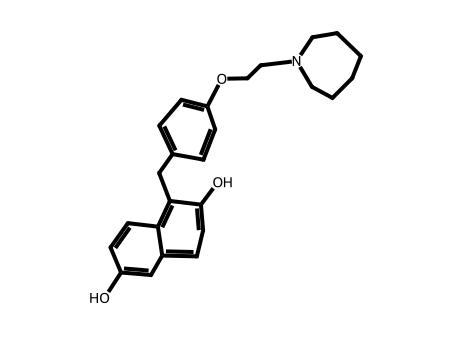 Oc1ccc2c(Cc3ccc(OCCN4CCCCCC4)cc3)c(O)ccc2c1